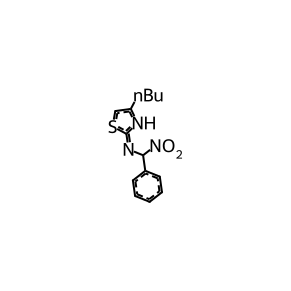 CCCCc1csc(=NC(c2ccccc2)[N+](=O)[O-])[nH]1